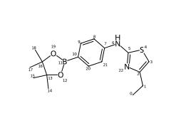 CCc1csc(Nc2ccc(B3OC(C)(C)C(C)(C)O3)cc2)n1